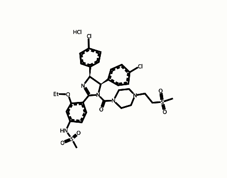 CCOc1cc(NS(C)(=O)=O)ccc1C1=N[C@@H](c2ccc(Cl)cc2)[C@@H](c2ccc(Cl)cc2)N1C(=O)N1CCN(CCS(C)(=O)=O)CC1.Cl